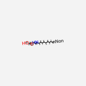 CCCCCCCCCCCCCCCCCCNCCOCCO